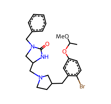 COC(C)Oc1ccc(Br)c(CC2CCN(CC3CN(Cc4ccccc4)C(=O)N3)C2)c1